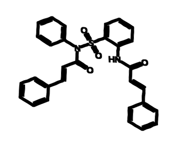 O=C(C=Cc1ccccc1)Nc1ccccc1S(=O)(=O)N(C(=O)C=Cc1ccccc1)c1ccccc1